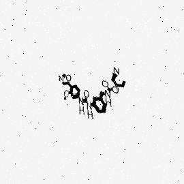 CCC(CC#N)OC(=O)NCC1C=CC=C(NC(=O)Nc2ccc(C3CN=CO3)c(OC)c2)C1